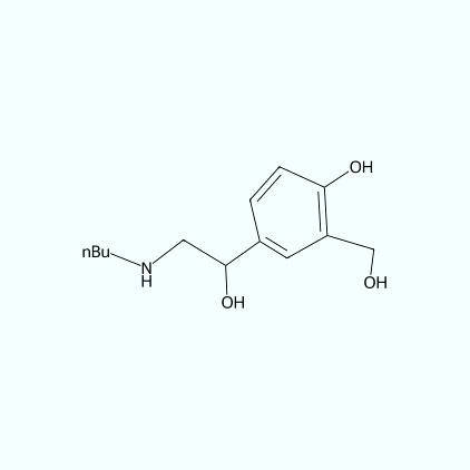 CCCCNCC(O)c1ccc(O)c(CO)c1